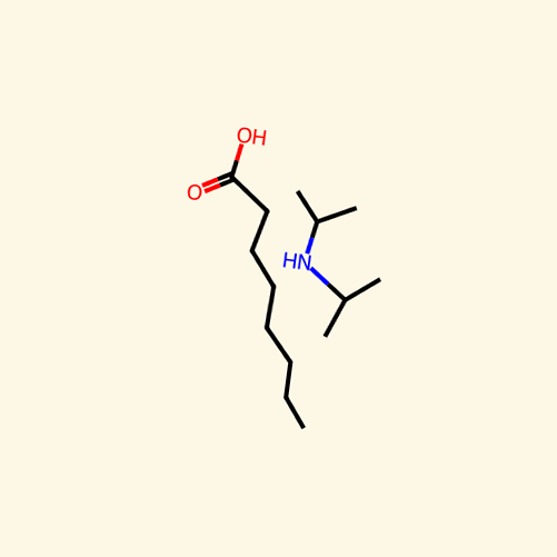 CC(C)NC(C)C.CCCCCCCC(=O)O